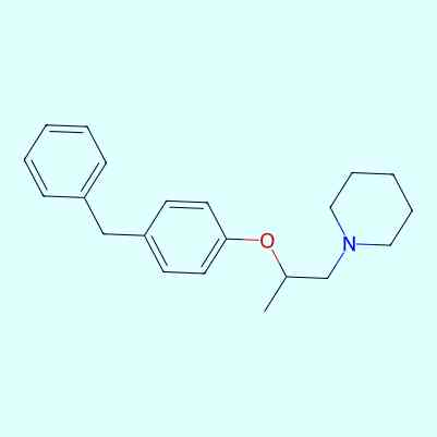 CC(CN1CCCCC1)Oc1ccc(Cc2ccccc2)cc1